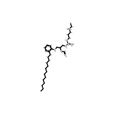 CCCCCCCCCCCCCCc1ccccc1OCC(COP(O)OCCCNCC)OC=O